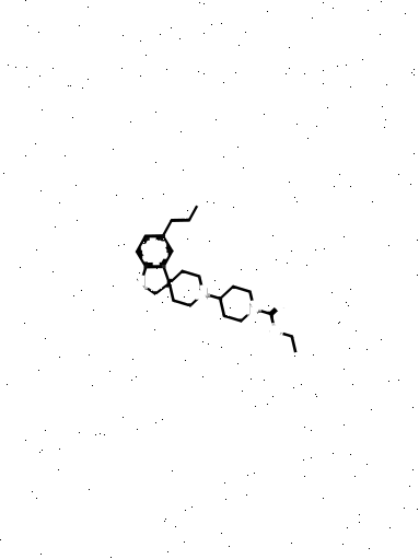 CCCc1ccc2c(c1)C1(CCN(C3CCN(C(=O)OCC)CC3)CC1)CN2